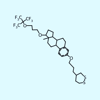 CC12CCC3c4ccc(OCCCC5CCSSC5)cc4CCC3C1CCC2OCCCOC(C(F)(F)F)(C(F)(F)F)C(F)(F)F